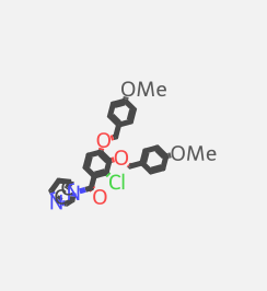 COc1ccc(COc2ccc(C(=O)N3CCN4CCC3CC4)c(Cl)c2OCc2ccc(OC)cc2)cc1